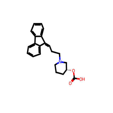 O=C(O)O[C@@H]1CCCN(CCC=C2c3ccccc3-c3ccccc32)C1